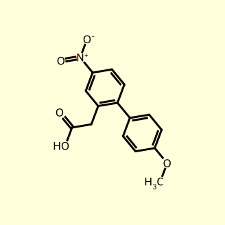 COc1ccc(-c2ccc([N+](=O)[O-])cc2CC(=O)O)cc1